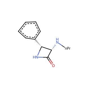 CCCN[C@@H]1C(=O)N[C@@H]1c1ccccc1